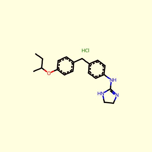 CCC(C)Oc1ccc(Cc2ccc(NC3=NCCN3)cc2)cc1.Cl